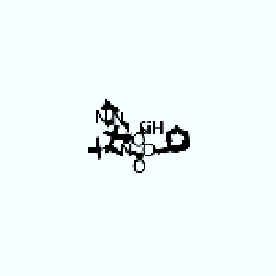 CC(C)(C)[C@H]1CN(C(=O)OCc2ccccc2)[C@](Cn2ccnc2)(O[SiH3])C1(C)C